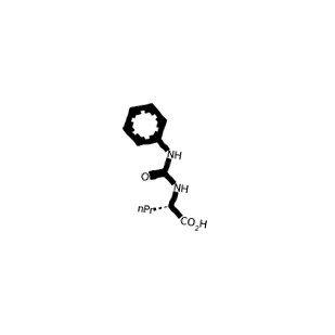 CCC[C@H](NC(=O)Nc1ccccc1)C(=O)O